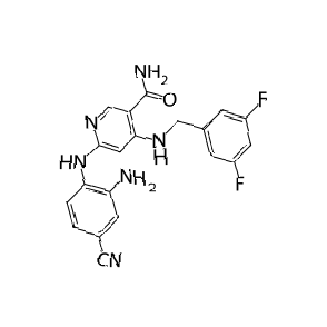 N#Cc1ccc(Nc2cc(NCc3cc(F)cc(F)c3)c(C(N)=O)cn2)c(N)c1